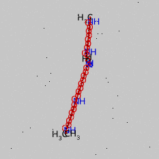 CCCNC(=O)CCOCCOCCOCCOCCOCCOCCNC(=O)OCC1[C@H]2CCc3nnn(CCOCCOCCOCCOCCOCCOCCOCCOCCC(=O)NCCOCCOCCOCCOCCOCCOCCC(=O)NCC(C)C)c3CC[C@@H]12